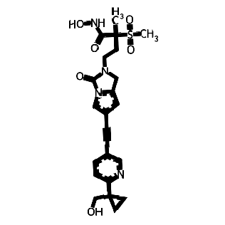 CC(CCN1Cc2cc(C#Cc3ccc(C4(CO)CC4)nc3)cn2C1=O)(C(=O)NO)S(C)(=O)=O